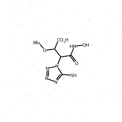 CC(C)(C)OC(C(=O)O)C(C(=O)NO)n1nnnc1S